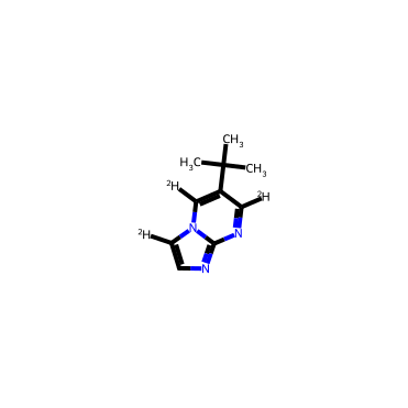 [2H]c1nc2ncc([2H])n2c([2H])c1C(C)(C)C